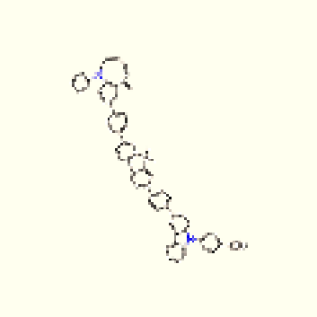 C=C1/C=C\C=C/CN(c2ccccc2)c2ccc(-c3ccc(-c4ccc5c(c4)C(C)(C)c4cc(-c6ccc(-c7ccc8c(c7)c7ccccc7n8-c7ccc(C(C)(C)C)cc7)cc6)ccc4-5)cc3)cc21